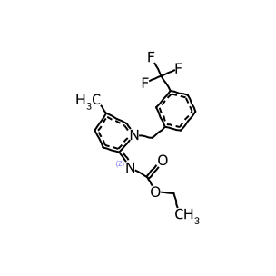 CCOC(=O)/N=c1/ccc(C)cn1Cc1cccc(C(F)(F)F)c1